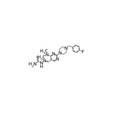 CN(C)c1nc(N2CCN(Cc3ccc(F)cc3)CC2)ncc1C=NNC(N)=S